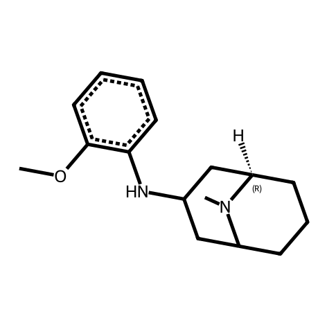 COc1ccccc1NC1CC2CCC[C@H](C1)N2C